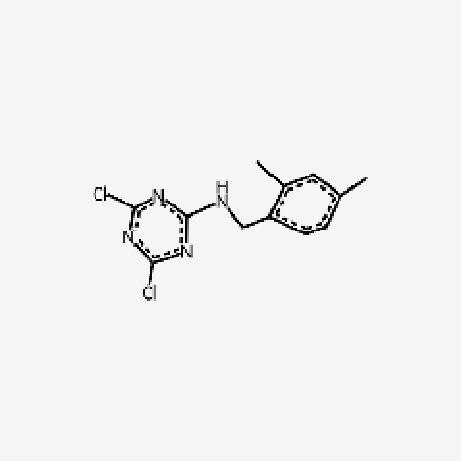 Cc1ccc(CNc2nc(Cl)nc(Cl)n2)c(C)c1